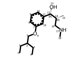 CCC(CC)COc1cccc([C@H](O)[C@H](C)CNC)c1